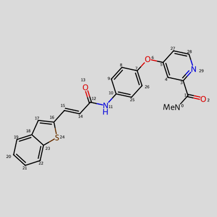 CNC(=O)c1cc(Oc2ccc(NC(=O)C=Cc3cc4ccccc4s3)cc2)ccn1